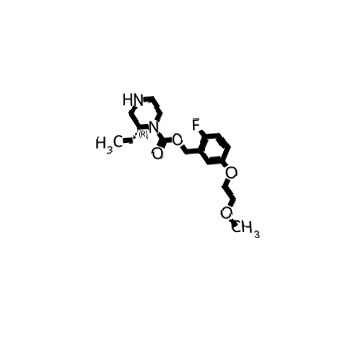 CC[C@@H]1CNCCN1C(=O)OCc1cc(OCCOC)ccc1F